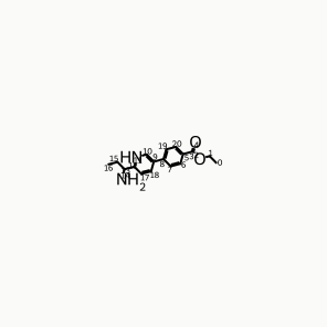 CCOC(=O)c1ccc(C2=CNC(C(N)CC)C=C2)cc1